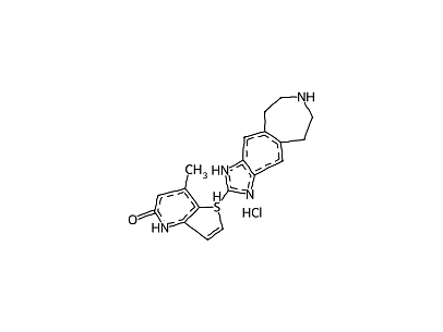 Cc1cc(=O)[nH]c2c1[SH](c1nc3cc4c(cc3[nH]1)CCNCC4)C=C2.Cl